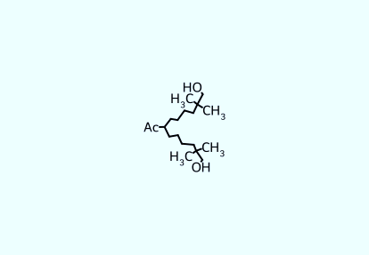 CC(=O)C(CCCCC(C)(C)CO)CCCCC(C)(C)CO